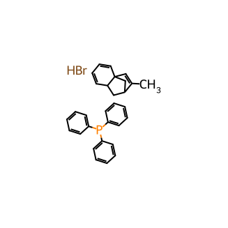 Br.CC1=CC23C=CC=CC2CC1C3.c1ccc(P(c2ccccc2)c2ccccc2)cc1